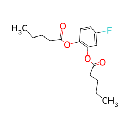 CCCCC(=O)Oc1ccc(F)cc1OC(=O)CCCC